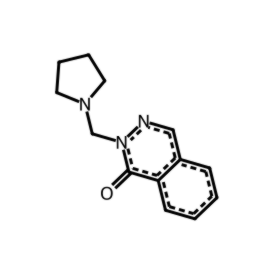 O=c1c2ccccc2cnn1CN1CCCC1